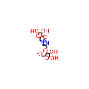 COCC1OC(O)C(O)C1OCc1cn(CC2OC(O)C(O)C2OC)nn1